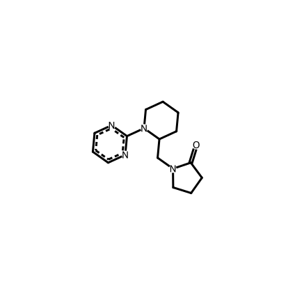 O=C1CCCN1CC1CCCCN1c1ncccn1